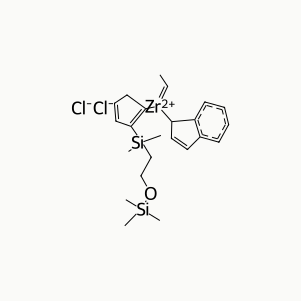 C[CH]=[Zr+2]([C]1=C([Si](C)(C)CCO[Si](C)(C)C)C=CC1)[CH]1C=Cc2ccccc21.[Cl-].[Cl-]